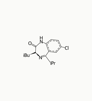 CC[C@H](C)[C@@H]1N=C(C(C)C)c2cc(Cl)ccc2NC1=O